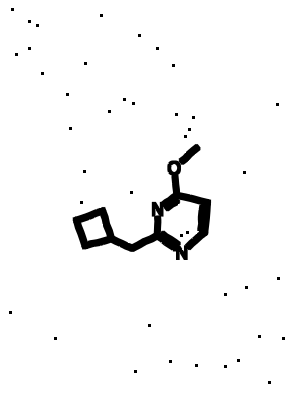 COc1ccnc(CC2CCC2)n1